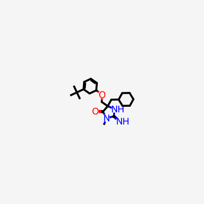 CN1C(=N)NC(COC2C=CC=C(C(C)(C)C)C2)(CC2CCCCC2)C1=O